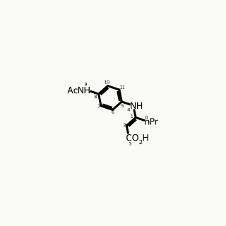 CCCC(=CC(=O)O)Nc1ccc(NC(C)=O)cc1